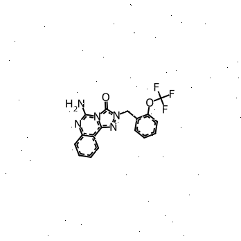 Nc1nc2ccccc2c2nn(Cc3ccccc3OC(F)(F)F)c(=O)n12